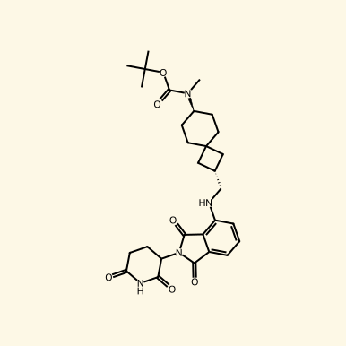 CN(C(=O)OC(C)(C)C)[C@H]1CCC2(CC1)C[C@@H](CNc1cccc3c1C(=O)N(C1CCC(=O)NC1=O)C3=O)C2